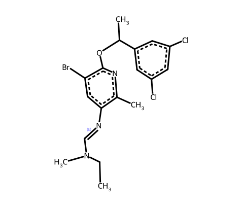 CCN(C)/C=N/c1cc(Br)c(OC(C)c2cc(Cl)cc(Cl)c2)nc1C